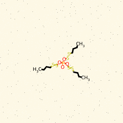 CCCCSSOP(=O)(OSSCCCC)OSSCCCC